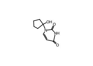 O=c1ccn(C2(O)CCCC2)c(=O)[nH]1